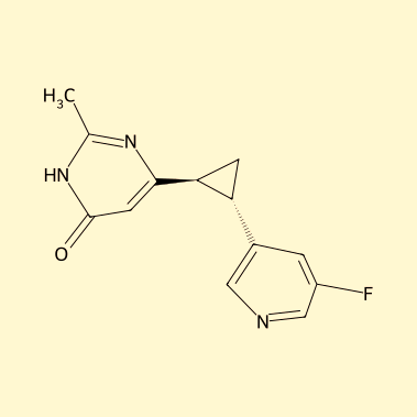 Cc1nc([C@H]2C[C@@H]2c2cncc(F)c2)cc(=O)[nH]1